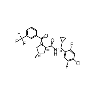 C[C@@H]1C[C@H](C(=O)N[C@@H](c2cc(F)c(Cl)cc2F)C2CC2)N(C(=O)c2cccc(C(F)(F)F)c2)C1